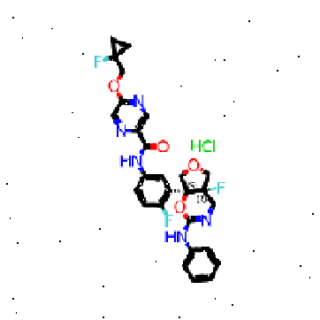 Cl.O=C(Nc1ccc(F)c([C@]23COC[C@]2(F)CN=C(Nc2ccccc2)O3)c1)c1cnc(OCC2(F)CC2)cn1